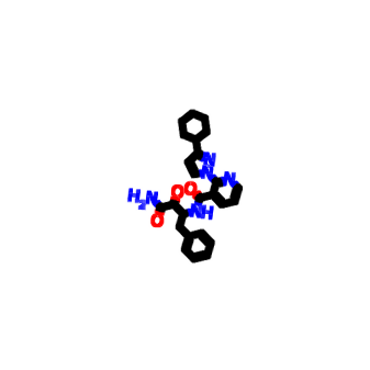 NC(=O)C(=O)C(Cc1ccccc1)NC(=O)c1cccnc1-n1ccc(C2CCCCC2)n1